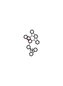 c1ccc(-c2cc(-c3cccc(-n4c5ccccc5c5ccccc54)c3)cc(C3c4ccccc4-c4ccc5c(c43)C(c3ccccc3)c3ccccc3-5)c2)cc1